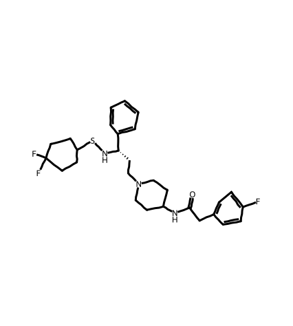 O=C(Cc1ccc(F)cc1)NC1CCN(CC[C@H](NSC2CCC(F)(F)CC2)c2ccccc2)CC1